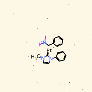 Cn1ccn(-c2ccccc2)[c]1=[Pt].IN(I)Cc1ccccc1